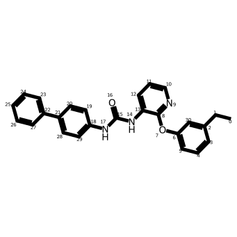 CCc1cccc(Oc2ncccc2NC(=O)Nc2ccc(-c3ccccc3)cc2)c1